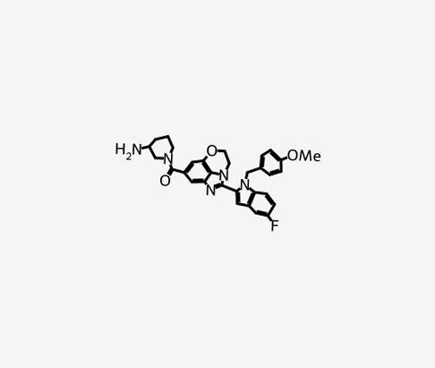 COc1ccc(Cn2c(-c3nc4cc(C(=O)N5CCCC(N)C5)cc5c4n3CCO5)cc3cc(F)ccc32)cc1